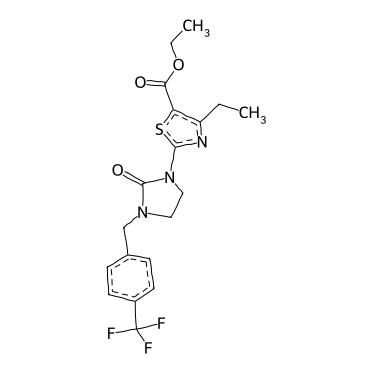 CCOC(=O)c1sc(N2CCN(Cc3ccc(C(F)(F)F)cc3)C2=O)nc1CC